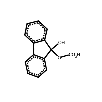 O=C(O)OC1(O)c2ccccc2-c2ccccc21